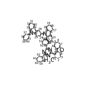 CC1CC=c2oc3ccc(-c4ccc5c(c4)c4ccccc4n5-c4ccc5c(c4)c4ccccc4n5-c4ccccc4)cc3c2=C1c1nc(-c2ccccc2)nc(-c2ccccc2)n1